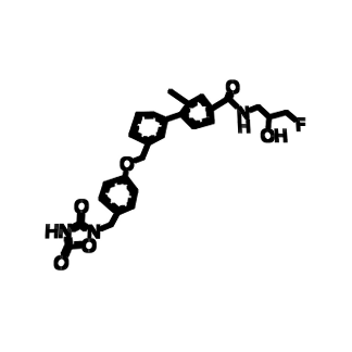 Cc1cc(C(=O)NCC(O)CF)ccc1-c1cccc(COc2ccc(Cn3oc(=O)[nH]c3=O)cc2)c1